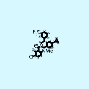 CNc1ccc(Cl)c(F)c1C(=O)N(CCc1cccc(C(F)(F)F)c1)Cc1ccc(C2CC2)cc1